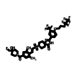 Cc1cc(C(=O)N2CCC(O)(CF)CC2)cc(C)c1C=CS(=O)(=O)N1CCC2(CC1)N=C(c1ccc(OCCCC(F)(F)C(F)(F)F)c(C(F)(F)F)c1)NC2=O